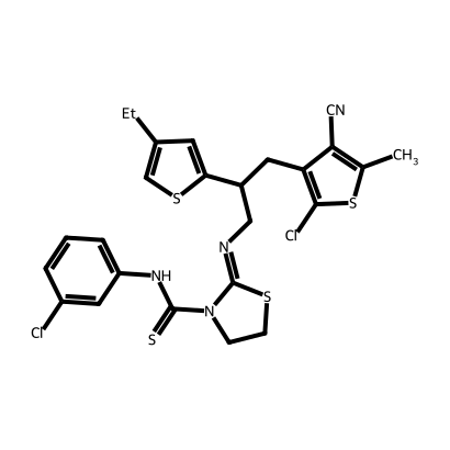 CCc1csc(C(CN=C2SCCN2C(=S)Nc2cccc(Cl)c2)Cc2c(Cl)sc(C)c2C#N)c1